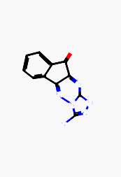 NC1=NNC2N=C3C(=O)c4ccccc4C3=NN12